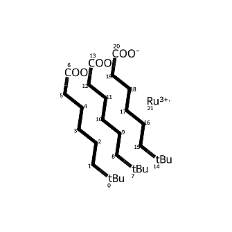 CC(C)(C)CCCCCC(=O)[O-].CC(C)(C)CCCCCC(=O)[O-].CC(C)(C)CCCCCC(=O)[O-].[Ru+3]